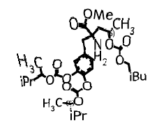 CCC(C)COC(=O)O[C@@H](C)CC(N)(Cc1ccc(OC(=O)O[C@@H](C)C(C)C)c(OC(=O)OC(C)C(C)C)c1)C(=O)OC